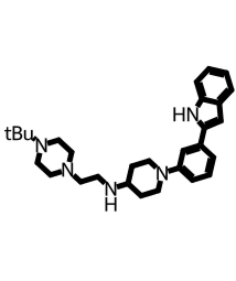 CC(C)(C)N1CCN(CCNC2CCN(c3cccc(-c4cc5ccccc5[nH]4)c3)CC2)CC1